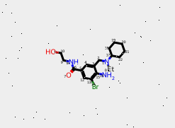 CCN(Cc1cc(C(=O)NCCO)cc(Br)c1N)C1CCCCC1